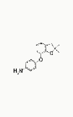 CC1(C)Cc2cccc(Oc3ccc(N)cc3)c2O1